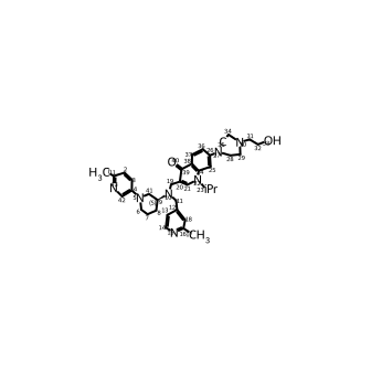 Cc1ccc(N2CCC[C@H](N(Cc3ccnc(C)c3)Cc3cn(C(C)C)c4cc(N5CCN(CCO)CC5)ccc4c3=O)C2)cn1